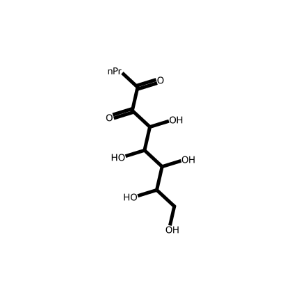 CCCC(=O)C(=O)C(O)C(O)C(O)C(O)CO